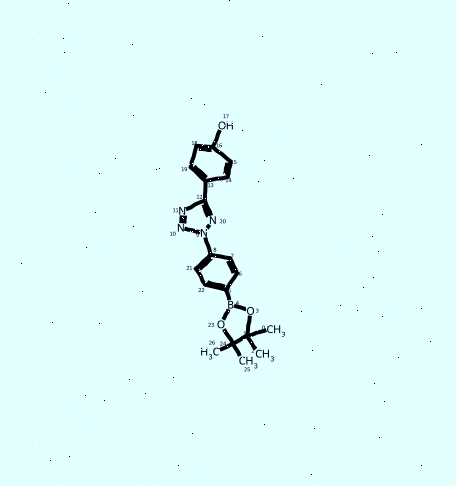 CC1(C)OB(c2ccc(-n3nnc(-c4ccc(O)cc4)n3)cc2)OC1(C)C